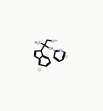 CC(C)([CH2][Cr+2])C1C=Cc2ccccc21.[Cl-].[Cl-].c1ccncc1